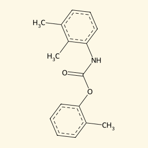 Cc1ccccc1OC(=O)Nc1cccc(C)c1C